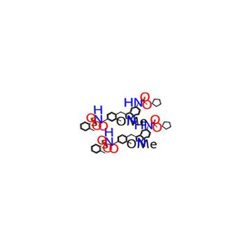 COc1cc(C(=O)NS(=O)(=O)c2ccccc2C)ccc1Cc1cn(C)c2ccc(NC(=O)OC3CCCC3)cc12.COc1cc(C(=O)NS(=O)(=O)c2ccccc2C)ccc1Cc1cn(C)c2ccc(NC(=O)OC3CCCC3)cc12